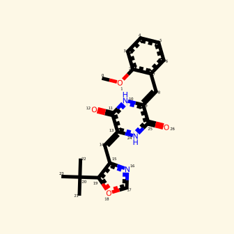 COc1ccccc1C=c1[nH]c(=O)c(=Cc2ncoc2C(C)(C)C)[nH]c1=O